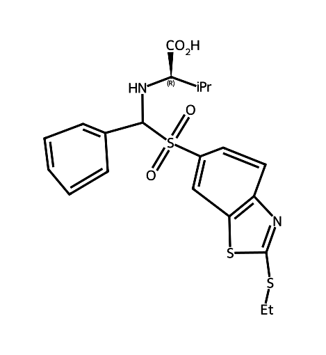 CCSc1nc2ccc(S(=O)(=O)C(N[C@@H](C(=O)O)C(C)C)c3ccccc3)cc2s1